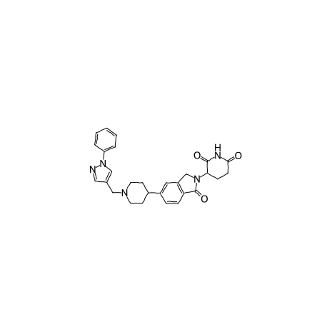 O=C1CCC(N2Cc3cc(C4CCN(Cc5cnn(-c6ccccc6)c5)CC4)ccc3C2=O)C(=O)N1